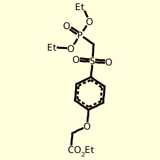 CCOC(=O)COc1ccc(S(=O)(=O)CP(=O)(OCC)OCC)cc1